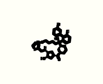 CCc1cccc(-c2c(Cl)cccc2[C@@](O)(CCCCOC)[C@H]2CN(C(=O)[C@@H]3C[C@H](O)[C@H](NCc4nccs4)C3)CCO2)c1